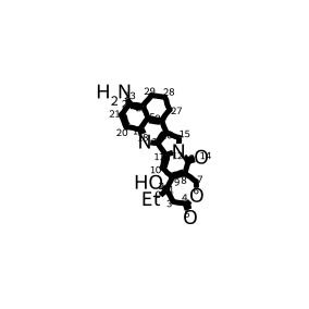 CCC1(O)CC(=O)OCc2c1cc1n(c2=O)Cc2c-1nc1ccc(N)c3c1c2CCC3